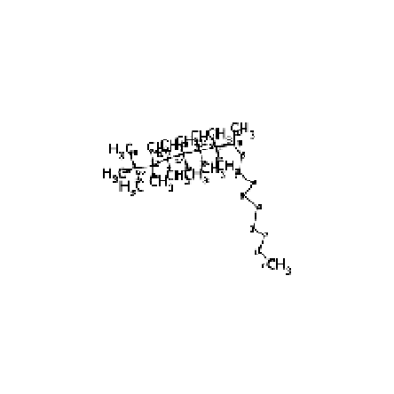 CCCCCCCCCC(C)C(C)(C)C(C)(C)C(C)(C)C(C)(C)C(C)(C)C(C)(C)C